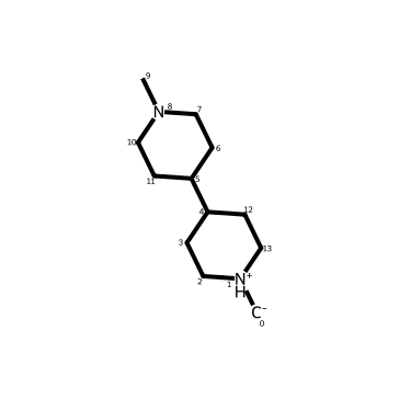 [CH2-][NH+]1CCC(C2CCN(C)CC2)CC1